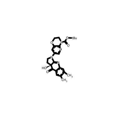 Cc1cc2c(cc1C)C(=O)[C@]1(O)CCN(c3cnc4c(c3)OCCN4C(=O)OC(C)(C)C)C1=N2